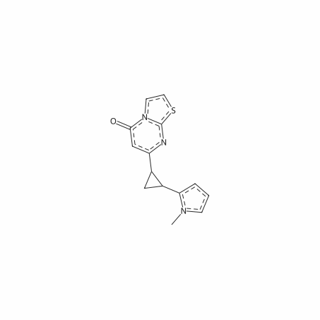 Cn1cccc1C1CC1c1cc(=O)n2ccsc2n1